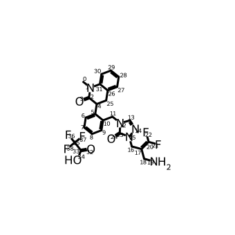 CN1C(=O)C(c2ccccc2Cn2cnn(CC(CN)=C(F)F)c2=O)Cc2ccccc21.O=C(O)C(F)(F)F